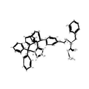 COC(=O)[C@H](Cc1ccccc1)NCc1ccc(-c2ccccc2-c2nnnn2C(c2ccccc2)(c2ccccc2)c2ccccc2)cc1